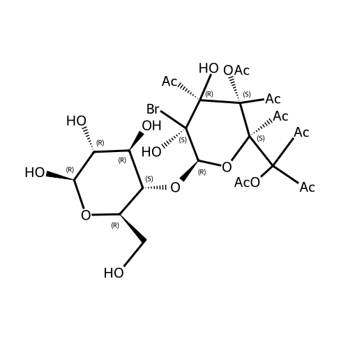 CC(=O)OC(C(C)=O)(C(C)=O)[C@@]1(C(C)=O)O[C@@H](O[C@H]2[C@H](O)[C@@H](O)[C@H](O)O[C@@H]2CO)[C@@](O)(Br)[C@](O)(C(C)=O)[C@@]1(OC(C)=O)C(C)=O